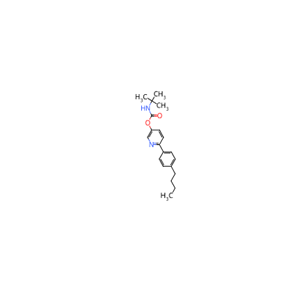 CCCCc1ccc(-c2ccc(OC(=O)NC(C)(C)C)cn2)cc1